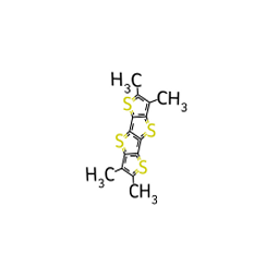 Cc1sc2c(sc3c4sc(C)c(C)c4sc23)c1C